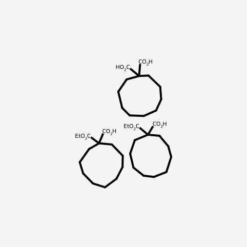 CCOC(=O)C1(C(=O)O)CCCCCCCCC1.CCOC(=O)C1(C(=O)O)CCCCCCCCC1.O=C(O)C1(C(=O)O)CCCCCCCCC1